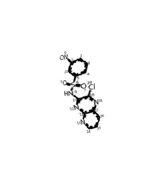 O=Nc1cccc(S(=O)(=O)Nc2nc3ncccc3nc2Cl)c1